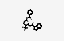 O=C(CC1OC(OC(=O)c2ccccc2)CCC1C(F)(F)F)C1=CCc2ccccc21